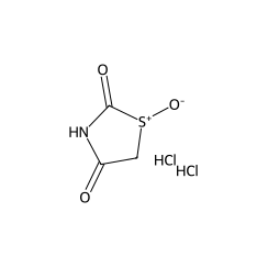 Cl.Cl.O=C1C[S+]([O-])C(=O)N1